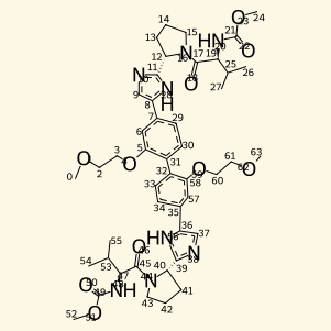 COCCOc1cc(-c2cnc([C@@H]3CCCN3C(=O)[C@@H](NC(=O)OC)C(C)C)[nH]2)ccc1-c1ccc(-c2cnc([C@@H]3CCCN3C(=O)[C@@H](NC(=O)OC)C(C)C)[nH]2)cc1OCCOC